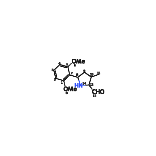 COc1cccc(OC)c1C1CC(C)C(C=O)N1